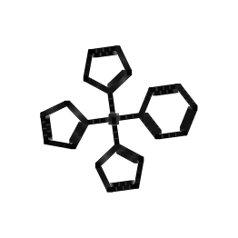 C1=CCC([Si](C2=CC=CC2)(C2=CC=CC2)c2ccccc2)=C1